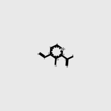 C=Cc1ccnc(C(=C)C)c1C